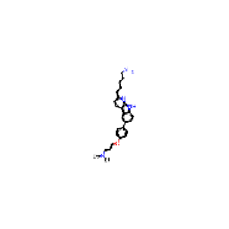 CCN(CC)CCCOc1ccc(-c2ccc3[nH]c4nc(CCCCCN)ccc4c3c2)cc1